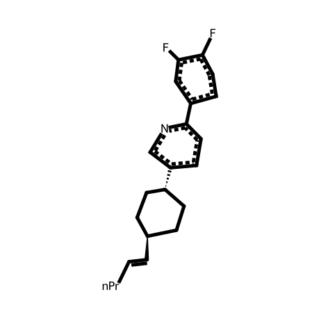 CCCC=C[C@H]1CC[C@H](c2ccc(-c3ccc(F)c(F)c3)nc2)CC1